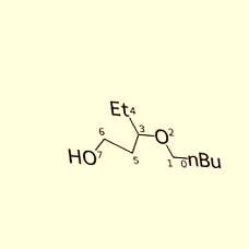 CCCCCOC(CC)CCO